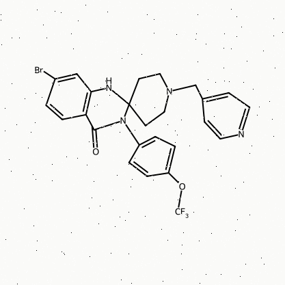 O=C1c2ccc(Br)cc2NC2(CCN(Cc3ccncc3)CC2)N1c1ccc(OC(F)(F)F)cc1